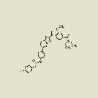 CCN(CC)C(=O)c1ccc(Nc2nc3ccc(-c4ccc(NC(=O)Cc5ccc(F)cc5)cc4)cn3n2)c(OC)c1